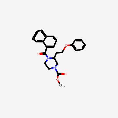 COC(=O)N1CCN(C(=O)c2cccc3ccccc23)C(CCOc2ccccc2)C1